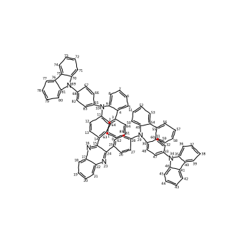 c1ccc(-c2ccccc2N(c2ccc(-c3nc4ccccc4nc3-c3ccc(N(c4ccc(-n5c6ccccc6c6ccccc65)cc4)c4ccccc4-c4ccccc4)cc3)cc2)c2ccc(-n3c4ccccc4c4ccccc43)cc2)cc1